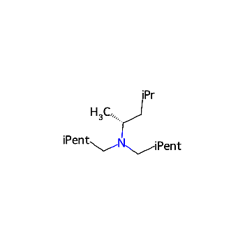 CCCC(C)CN(CC(C)CCC)[C@H](C)CC(C)C